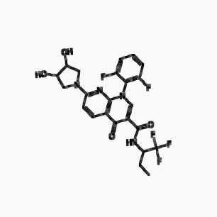 CCC(NC(=O)c1cn(-c2c(F)cccc2F)c2nc(N3CC(O)C(O)C3)ccc2c1=O)C(F)(F)F